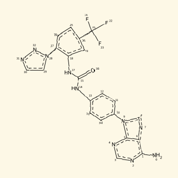 Nc1ncnc2c1ncn2-c1ccc(NC(=O)Nc2cc(C(F)(F)F)ccc2-n2ccnn2)cc1